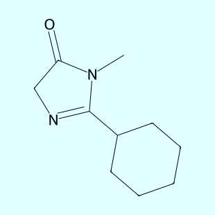 CN1C(=O)CN=C1C1CCCCC1